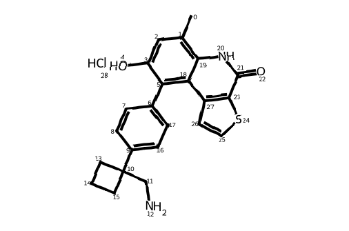 Cc1cc(O)c(-c2ccc(C3(CN)CCC3)cc2)c2c1[nH]c(=O)c1sccc12.Cl